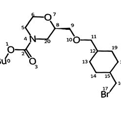 CC(C)(C)OC(=O)N1CCO[C@@H](COCC2CCC(CBr)CC2)C1